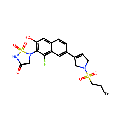 CC(C)CCS(=O)(=O)N1CC=C(c2ccc3cc(O)c(N4CC(=O)NS4(=O)=O)c(F)c3c2)C1